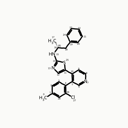 Cc1ccc(-c2cnccc2-c2cnc(N[C@H](C)Cc3ccccc3)s2)c(Cl)c1